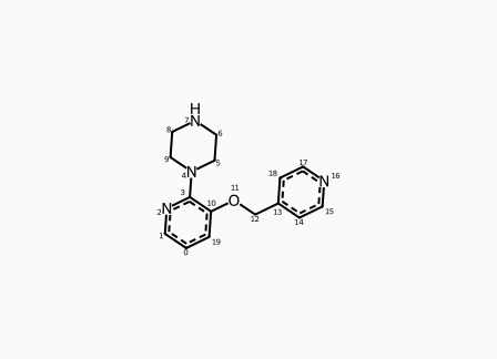 c1cnc(N2CCNCC2)c(OCc2ccncc2)c1